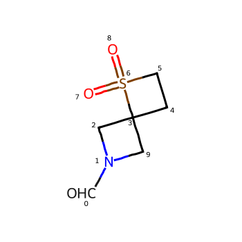 O=CN1CC2(CCS2(=O)=O)C1